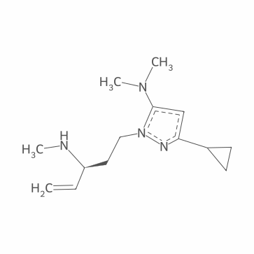 C=C[C@H](CCn1nc(C2CC2)cc1N(C)C)NC